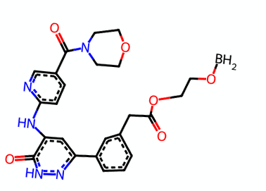 BOCCOC(=O)Cc1cccc(-c2cc(Nc3ccc(C(=O)N4CCOCC4)cn3)c(=O)[nH]n2)c1